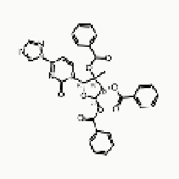 C[C@@]1(OC(=O)c2ccccc2)[C@H](OC(=O)c2ccccc2)[C@@H](OC(=O)c2ccccc2)O[C@H]1n1ccc(-n2cncn2)nc1=O